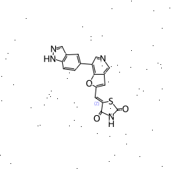 O=C1NC(=O)/C(=C/c2cc3cncc(-c4ccc5[nH]ncc5c4)c3o2)S1